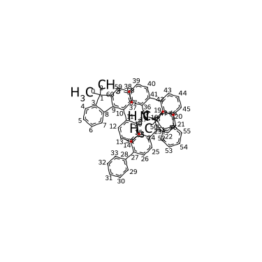 CC1(C)c2ccccc2-c2c(-c3ccccc3N(c3ccccc3-c3ccc(-c4ccccc4)cc3)c3ccccc3-c3cccc4c3C(C)(C)c3ccccc3-4)cccc21